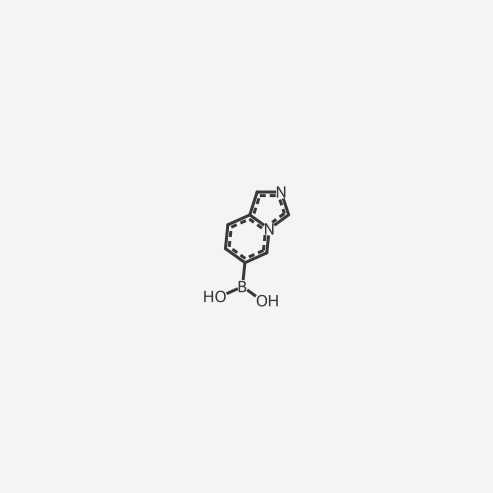 OB(O)c1ccc2cncn2c1